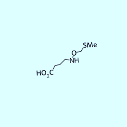 CSCONCCCC(=O)O